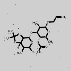 C=CCO[C@H]1OC(C)[C@H](OC(C)=O)C(O[C@@H]2OC(C)C(C)[C@@H]3OC(C)(C)OC23)[C@H]1C